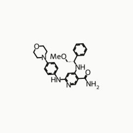 COC[C@@H](Nc1cc(Nc2ccc(N3CCOCC3)cc2)ncc1C(N)=O)c1ccccc1